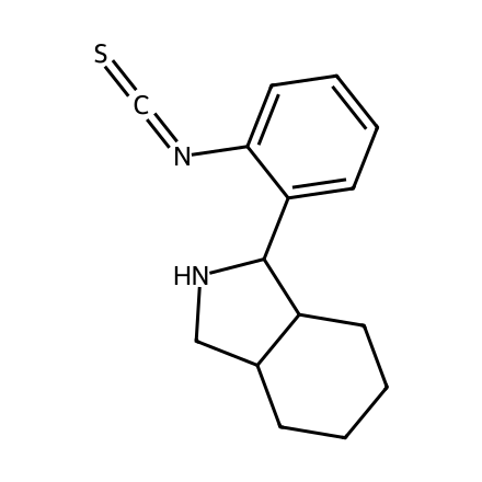 S=C=Nc1ccccc1C1NCC2CCCCC21